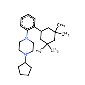 CC1(C)CC(c2ccccc2N2CCN(C3CCCC3)CC2)CC(C)(C)C1